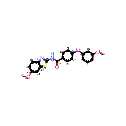 COc1cccc([I+]c2ccc(C(=O)Nc3nc4ccc(OC)cc4s3)cc2)c1